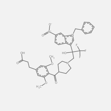 COc1cc(CCC(=O)O)cc(OC)c1C(=O)C1CCN(CC(O)(c2cn(Cc3ccccc3)c3cc([N+](=O)[O-])ccc23)C(F)(F)F)CC1